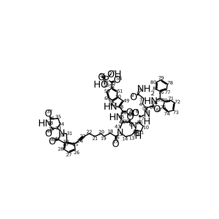 NC(=O)CC[C@H](NC(=O)[C@@H]1CC[C@@H]2CCN(C(=O)CCCCCC#Cc3cccc4c3CN(C3CCC(=O)NC3=O)C4=O)C[C@H](NC(=O)c3cc4cc(C(=O)P(=O)(O)O)ccc4[nH]3)C(=O)N21)C(=O)NC(c1ccccc1)c1ccccc1